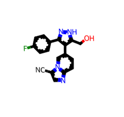 N#Cc1cnc2ccc(-c3c(-c4ccc(F)cc4)n[nH]c3CO)cn12